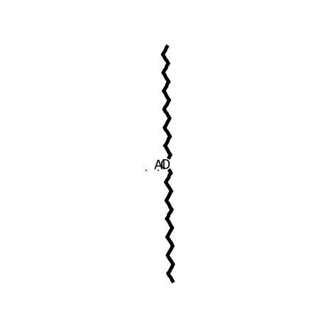 CCCCCCCCCCCCCOCCCCCCCCCCCCC.[Al]